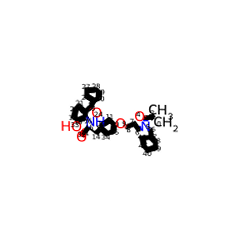 C=C(C)C(=O)N(CCCOc1ccc(C[C@H](Nc2ccccc2C(=O)c2ccccc2)C(=O)O)cc1)Cc1ccccc1